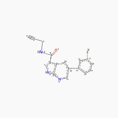 C#CCNC(=O)c1c[nH]c2ncc(-c3cccc(F)c3)cc12